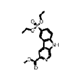 CCOP(=O)(OCC)c1ccc2[nH]c3cnc(C(=O)OC)cc3c2c1